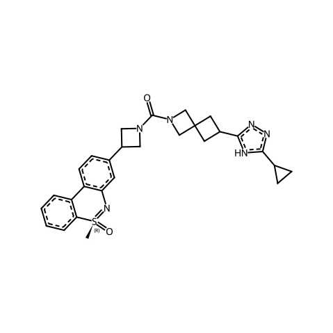 C[S@]1(=O)=Nc2cc(C3CN(C(=O)N4CC5(CC(c6nnc(C7CC7)[nH]6)C5)C4)C3)ccc2-c2ccccc21